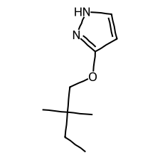 CCC(C)(C)COc1cc[nH]n1